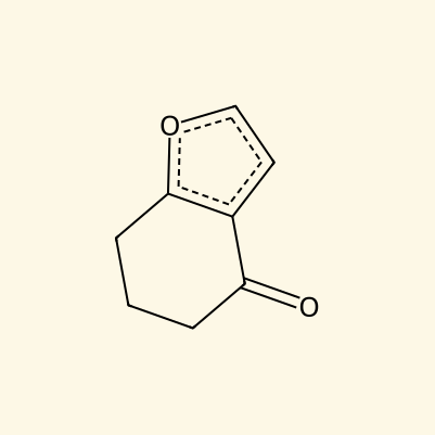 O=C1CCCc2occc21